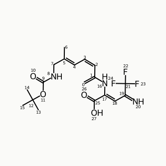 C=C(/C=C\C=C(/C)CNC(=O)OC(C)(C)C)N/C(=C\C(=N)C(F)(F)F)C(=O)O